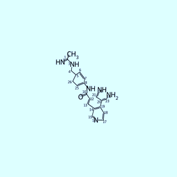 CC(=N)NCC1C=CC(NC(=O)/C=C/c2cnccc2/C(C=N)=C/N)=CC1